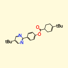 CC(C)(C)C1=CCC(C(=O)Oc2ccc(-c3ncc(C(C)(C)C)cn3)cc2)CC1